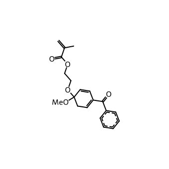 C=C(C)C(=O)OCCOC1(OC)C=CC(C(=O)c2ccccc2)=CC1